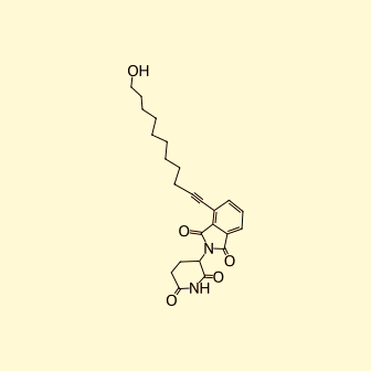 O=C1CCC(N2C(=O)c3cccc(C#CCCCCCCCCCO)c3C2=O)C(=O)N1